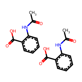 CC(=O)Nc1ccccc1C(=O)O.CC(=O)Nc1ccccc1C(=O)O